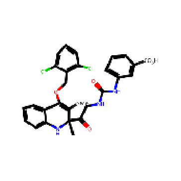 CNC1=C(OCc2c(Cl)cccc2Cl)c2ccccc2NC1(C)C(=O)CNC(=O)Nc1cccc(C(=O)O)c1